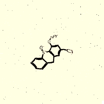 CCCOc1cc(Cl)cc2c1[S+]([O-])c1ccccc1C2